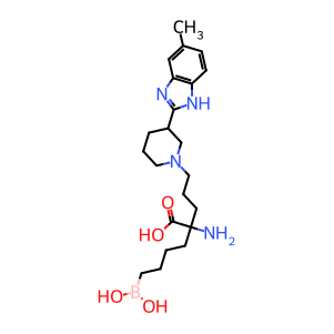 Cc1ccc2[nH]c(C3CCCN(CCCC(N)(CCCCB(O)O)C(=O)O)C3)nc2c1